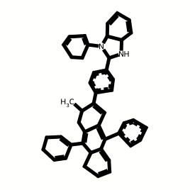 CC1CC2=C(C3=CCCC=C3)C3CC=CC=C3C(c3ccccc3)=C2C=C1c1ccc(C2NC3C=CC=CC3N2C2=CC=CCC2)cc1